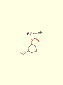 CCCCC(C)C(=O)OC1CCCC(C)C1